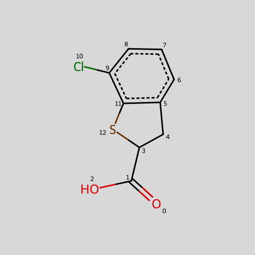 O=C(O)C1Cc2cccc(Cl)c2S1